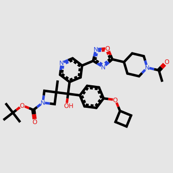 CC(=O)N1CCC(c2nc(-c3cncc(C(O)(c4ccc(OC5CCC5)cc4)C4(C)CN(C(=O)OC(C)(C)C)C4)c3)no2)CC1